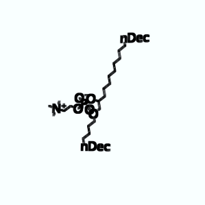 CCCCCCCCCCCCCCCCCCCC(COCCCCCCCCCCCCCC)OP(=O)([O-])OCC[N+](C)(C)C